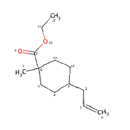 C=CCC1CCC(C)(C(=O)OCC)CC1